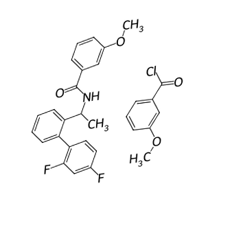 COc1cccc(C(=O)Cl)c1.COc1cccc(C(=O)NC(C)c2ccccc2-c2ccc(F)cc2F)c1